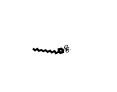 CCCCCCCCCCCCc1ccc([N+](=O)[O-])cc1